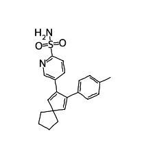 Cc1ccc(C2=CC3(C=C2c2ccc(S(N)(=O)=O)nc2)CCCC3)cc1